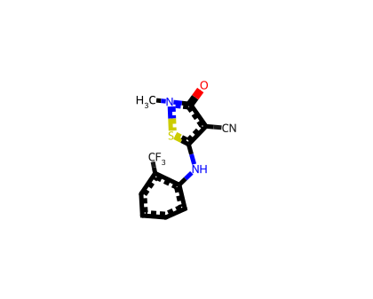 Cn1sc(Nc2ccccc2C(F)(F)F)c(C#N)c1=O